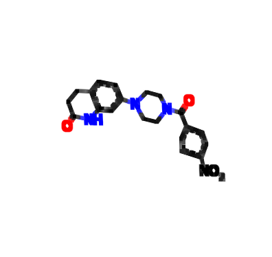 O=C1CCc2ccc(N3CCN(C(=O)c4ccc([N+](=O)[O-])cc4)CC3)cc2N1